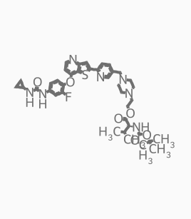 CC(C)[C@H](NC(=O)OC(C)(C)C)C(=O)OCCN1CCN(Cc2ccc(-c3cc4nccc(Oc5ccc(NC(=O)NC6CC6)cc5F)c4s3)nc2)CC1